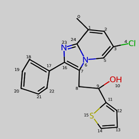 Cc1cc(Cl)cn2c(CC(O)c3cccs3)c(-c3ccccc3)nc12